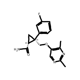 Cc1ncc(OC[C@@]2(c3cccc(F)c3)C[C@H]2C(N)=O)c(C)n1